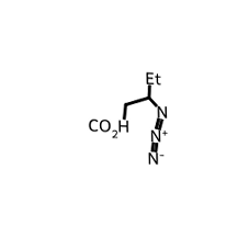 CCC(CC(=O)O)N=[N+]=[N-]